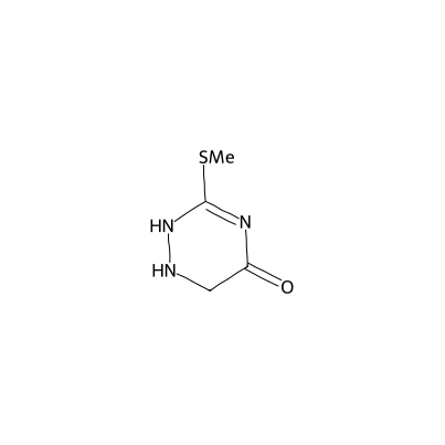 [CH2]SC1=NC(=O)CNN1